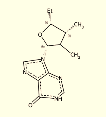 CC[C@H]1O[C@@H](n2cnc3c(=O)[nH]cnc32)C(C)[C@H]1C